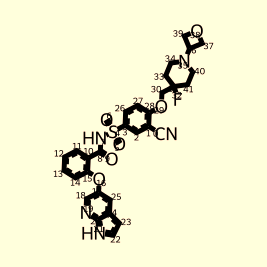 N#Cc1cc(S(=O)(=O)NC(=O)c2ccccc2Oc2cnc3[nH]ccc3c2)ccc1OCC1(F)CCN(C2COC2)CC1